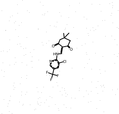 CC1(C)CC(=O)C(=CNc2ncc(C(F)(F)F)cc2Cl)C(=O)C1